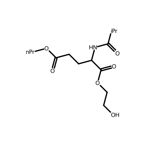 CCCOC(=O)CCC(NC(=O)C(C)C)C(=O)OCCO